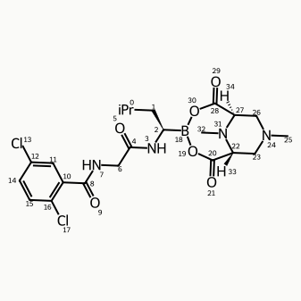 CC(C)C[C@H](NC(=O)CNC(=O)c1cc(Cl)ccc1Cl)B1OC(=O)[C@H]2CN(C)C[C@H](C(=O)O1)N2C